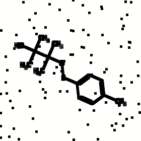 Cc1ccc(SOC(C)(C)C(C)(C)O)cc1